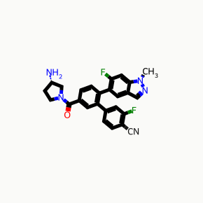 Cn1ncc2cc(-c3ccc(C(=O)N4CC[C@H](N)C4)cc3-c3ccc(C#N)c(F)c3)c(F)cc21